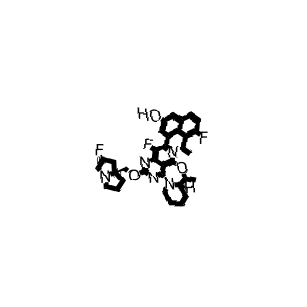 CCc1c(F)ccc2cc(O)cc(-c3nc4c5c(nc(OC[C@@]67CCCN6C[C@H](F)C7)nc5c3F)N3CCCC[C@H]3C(C)O4)c12